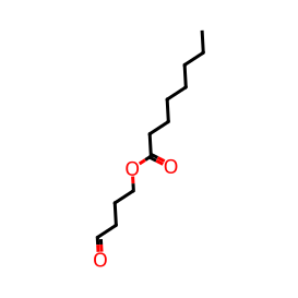 CCCCCCCC(=O)OCCCC=O